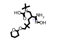 CC(C)(CCC(CN(C(=O)O)C(C)(C)C)/C(N)=N/O)COC1CCCCO1